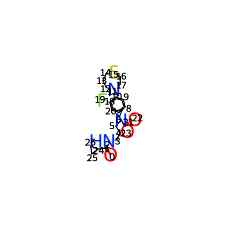 O=C(NCC1CN(c2ccc(N3CCCSCC3)c(F)c2)C(=O)O1)C1CC1